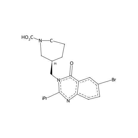 CC(C)c1nc2ccc(Br)cc2c(=O)n1C[C@@H]1CCCN(C(=O)O)C1